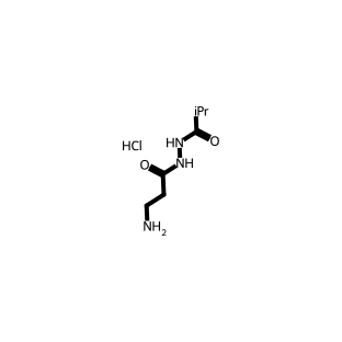 CC(C)C(=O)NNC(=O)CCN.Cl